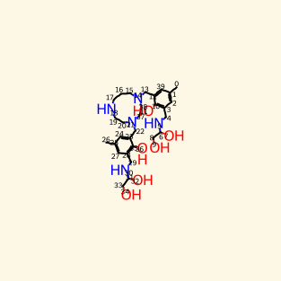 Cc1cc(CNC(O)CO)c(O)c(CN2CCCNCCN(Cc3cc(C)cc(CNC(O)CO)c3O)CC2)c1